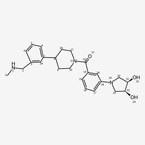 CNCc1cccc(C2CCN(C(=O)c3cccc(N4C[C@@H](O)[C@@H](O)C4)c3)CC2)c1